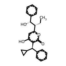 CC[C@H](c1cc(O)c([C@@H](c2ccccc2)C2CC2)c(=O)o1)[C@H](O)c1ccccc1